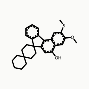 COc1cc2c(O)cc3c(c2cc1SC)-c1ccccc1C31CCC2(CCCCC2)CC1